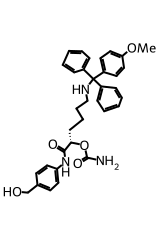 COc1ccc(C(NCCCC[C@H](OC(N)=O)C(=O)Nc2ccc(CO)cc2)(c2ccccc2)c2ccccc2)cc1